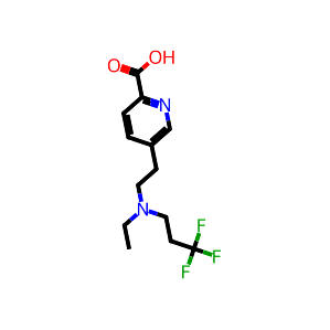 CCN(CCc1ccc(C(=O)O)nc1)CCC(F)(F)F